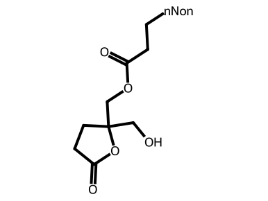 CCCCCCCCCCCC(=O)OCC1(CO)CCC(=O)O1